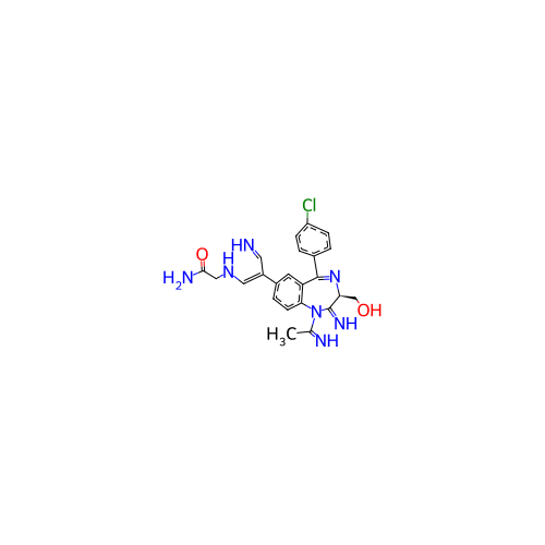 CC(=N)N1C(=N)[C@H](CO)N=C(c2ccc(Cl)cc2)c2cc(/C(C=N)=C/NCC(N)=O)ccc21